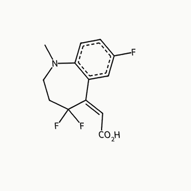 CN1CCC(F)(F)/C(=C\C(=O)O)c2cc(F)ccc21